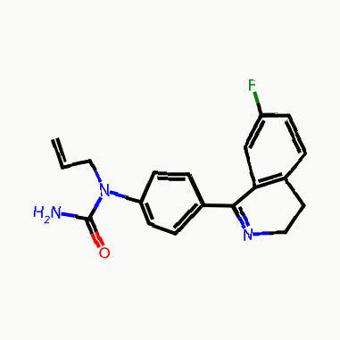 C=CCN(C(N)=O)c1ccc(C2=NCCc3ccc(F)cc32)cc1